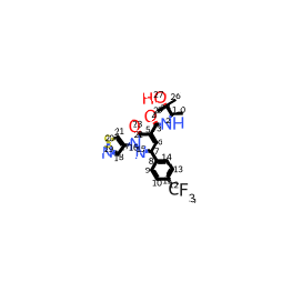 CC(NC(=O)c1cc(-c2ccc(C(F)(F)F)cc2)nn(-c2cnsc2)c1=O)C(C)(C)O